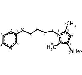 CCCCCCc1cc(C)n(CCCCCc2ccccc2)c1C